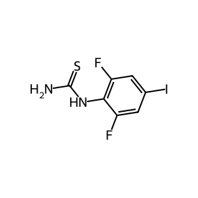 NC(=S)Nc1c(F)cc(I)cc1F